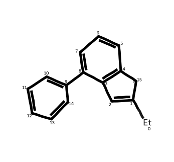 CCC1=Cc2c(cccc2-c2ccccc2)[C]1